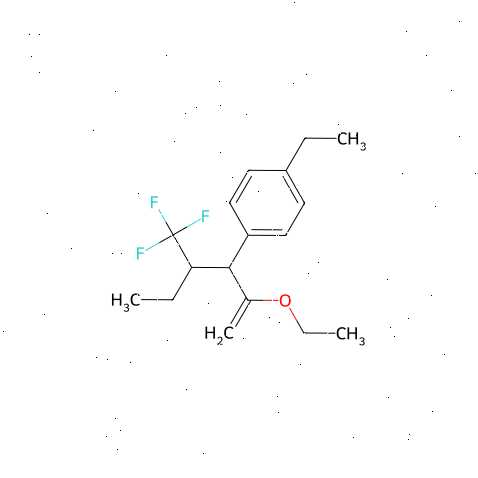 C=C(OCC)C(c1ccc(CC)cc1)C(CC)C(F)(F)F